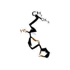 CC(C)=C/C=C(\S)c1ccc(-c2cccs2)s1